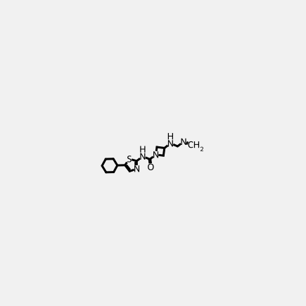 C=NCNC1CN(C(=O)Nc2ncc(C3CCCCC3)s2)C1